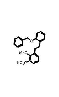 COc1c(CCc2ccccc2OCc2ccccc2)cccc1C(=O)O